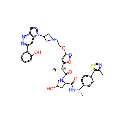 Cc1ncsc1-c1ccc([C@H](C)NC(=O)C2CC(O)CN2C(=O)[C@@H](c2cc(OCCN3CC(n4ccc5nnc(-c6ccccc6O)cc54)C3)no2)C(C)C)cc1